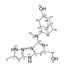 Cc1cc(Nc2cc(CO)nc(N(C)C3C4CC5CC3CC(O)(C5)C4)n2)n[nH]1